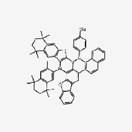 Cc1cc2c(cc1N1c3c(sc4cc5c(cc34)C(C)(C)CCC5(C)C)B3c4c(cc5c(oc6ccccc65)c41)-c1ccc4ccccc4c1N3c1ccc(C(C)(C)C)cc1)C(C)(C)CCC2(C)C